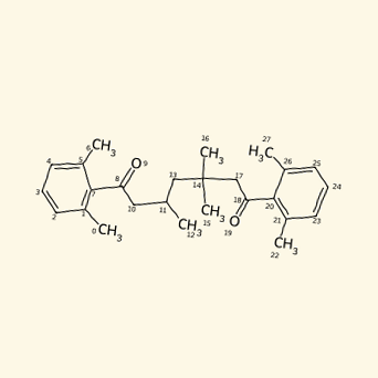 Cc1cccc(C)c1C(=O)CC(C)CC(C)(C)CC(=O)c1c(C)cccc1C